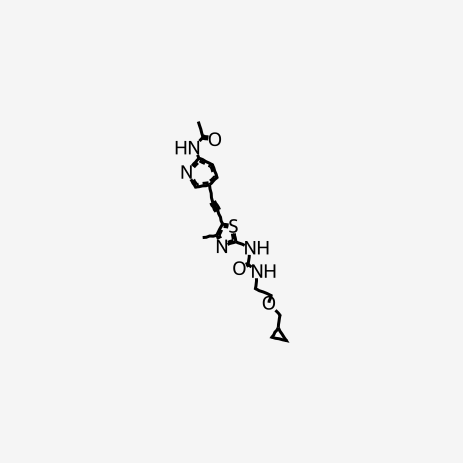 CC(=O)Nc1ccc(C#Cc2sc(NC(=O)NCCOCC3CC3)nc2C)cn1